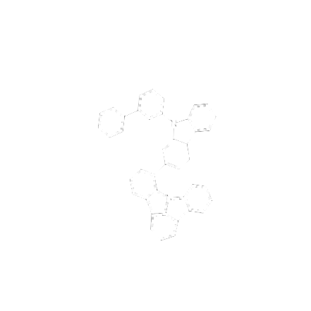 C1=C(c2cccc3c4cccc5c6ccccc6n(c23)c54)C=C2C(C1)c1ccccc1N2c1cccc(-c2ccccc2)c1